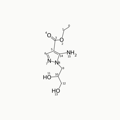 CCOC(=O)c1cnn(CC(O)CO)c1N